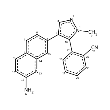 Cn1ncc(-c2ccc3ccc(N)nc3c2)c1-c1ccccc1C#N